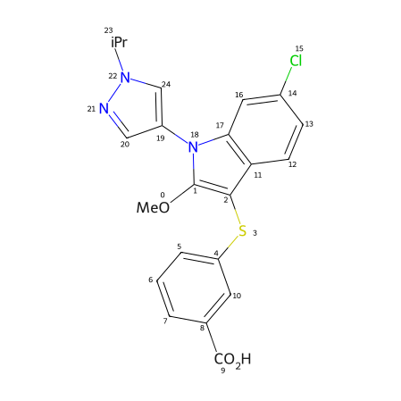 COc1c(Sc2cccc(C(=O)O)c2)c2ccc(Cl)cc2n1-c1cnn(C(C)C)c1